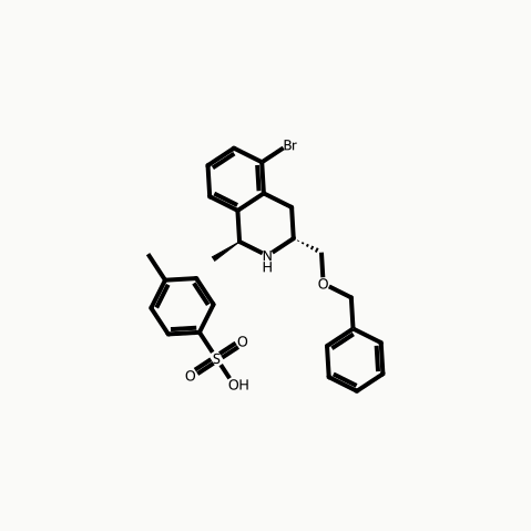 C[C@@H]1N[C@@H](COCc2ccccc2)Cc2c(Br)cccc21.Cc1ccc(S(=O)(=O)O)cc1